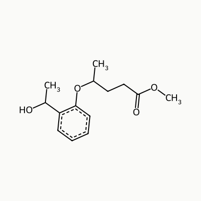 COC(=O)CCC(C)Oc1ccccc1C(C)O